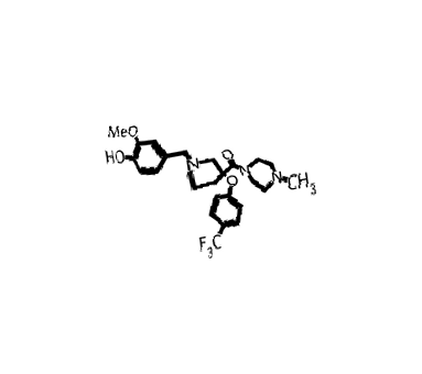 COc1cc(CN2CCCC(Oc3ccc(C(F)(F)F)cc3)(C(=O)N3CCN(C)CC3)C2)ccc1O